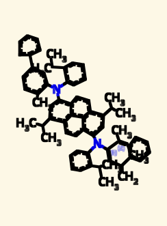 C=C(/C=C(\C(C)=C/C)N(c1ccccc1C(C)C)c1cc(C(C)C)c2ccc3c(N(c4cc(-c5ccccc5)ccc4C)c4ccccc4C(C)C)cc(C(C)C)c4ccc1c2c43)c1ccccc1